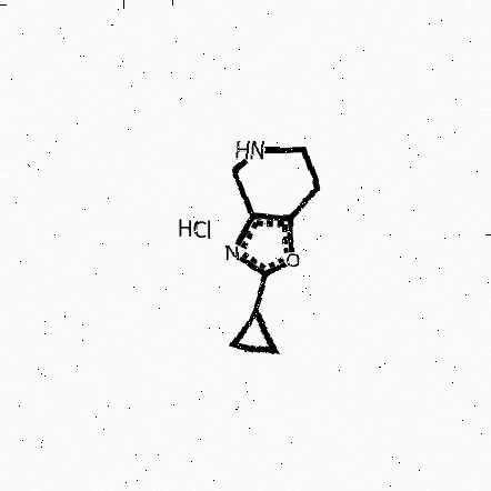 C1Cc2oc(C3CC3)nc2CN1.Cl